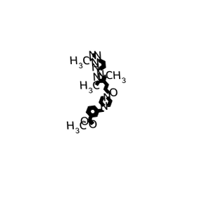 COC(=O)c1cccc(CN2CCN(C(=O)CCc3c(C)nn(-c4ccc5nnc(C)n5n4)c3C)CC2)c1